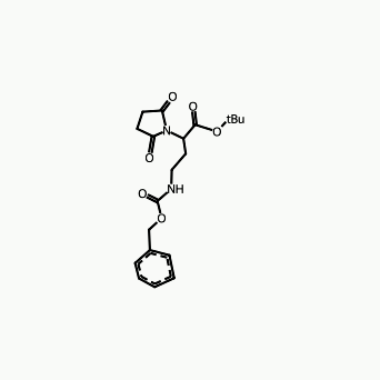 CC(C)(C)OC(=O)C(CCNC(=O)OCc1ccccc1)N1C(=O)CCC1=O